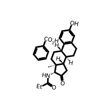 CCC(=O)N[C@H]1C(=O)C[C@H]2[C@@H]3CCc4cc(O)ccc4[C@H]3CC[C@]12C.O=C(O)c1ccccc1